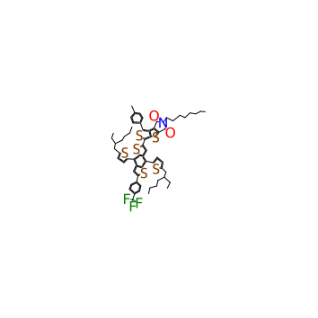 CCCCCCCCN1C(=O)c2sc3c(-c4cc5c(-c6ccc(CC(CC)CCCC)s6)c6sc(-c7ccc(C(F)(F)F)cc7)cc6c(-c6ccc(CC(CC)CCCC)s6)c5s4)sc(-c4ccc(C)cc4)c3c2C1=O